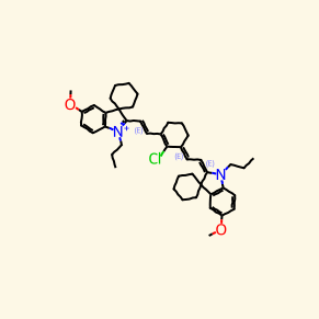 CCCN1/C(=C/C=C2\CCCC(/C=C/C3=[N+](CCC)c4ccc(OC)cc4C34CCCCC4)=C2Cl)C2(CCCCC2)c2cc(OC)ccc21